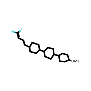 COC1CCC(C2CCC(C3CCC(CCC=C(F)F)CC3)CC2)CC1